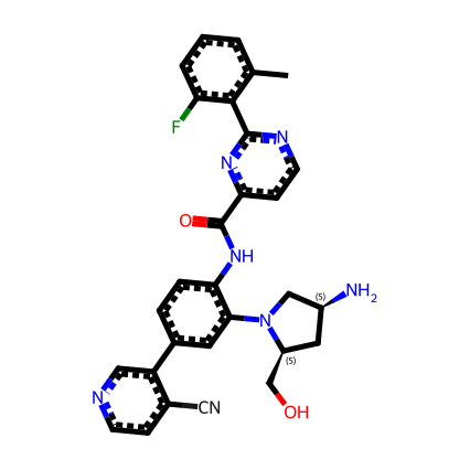 Cc1cccc(F)c1-c1nccc(C(=O)Nc2ccc(-c3cnccc3C#N)cc2N2C[C@@H](N)C[C@H]2CO)n1